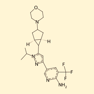 CC(C)n1nc(-c2cnc(N)c(C(F)(F)F)c2)cc1C1[C@H]2CC(N3CCOCC3)C[C@@H]12